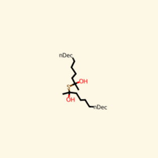 CCCCCCCCCCCCCCC(C)(O)SC(C)(O)CCCCCCCCCCCCCC